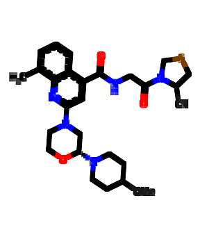 COC1CCN([C@H]2CN(c3cc(C(=O)NCC(=O)N4CSCC4C#N)c4cccc(C)c4n3)CCO2)CC1